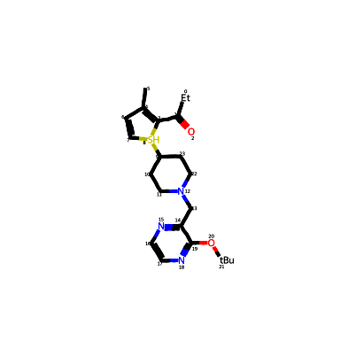 CCC(=O)C1=C(C)C=C[SH]1C1CCN(Cc2nccnc2OC(C)(C)C)CC1